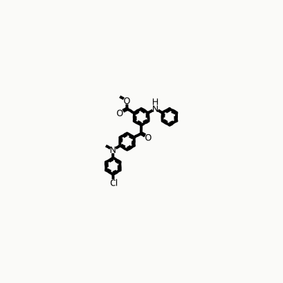 COC(=O)c1cc(Nc2ccccc2)cc(C(=O)c2ccc(N(C)c3ccc(Cl)cc3)cc2)c1